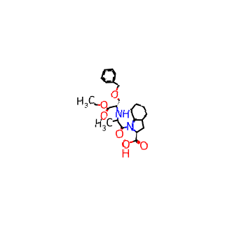 CCOC(=O)[C@H](COCc1ccccc1)NC(C)C(=O)N1C2CCCCC2C[C@H]1C(=O)O